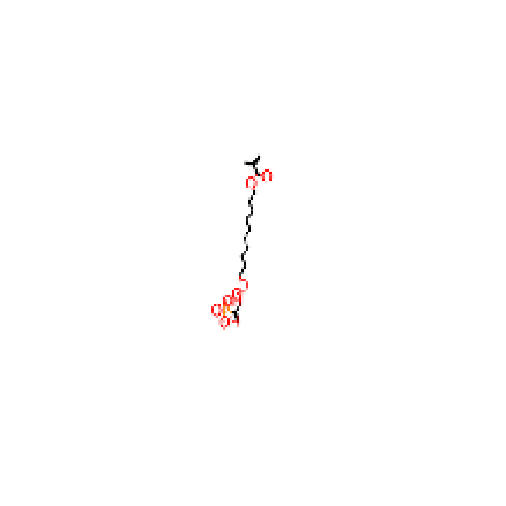 C=C(C)C(=O)OCCCCCCCCCCOOCC(=C)P(=O)(O)O